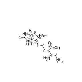 Br.NCC(N)C(CCC[C@@H]1SC[C@@H]2NC(=O)N[C@@H]21)C(=O)O